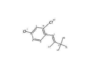 C/C(=C\c1ccc(Cl)cc1Cl)C(C)(C)C